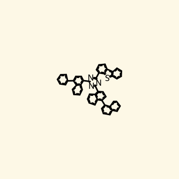 c1ccc(-c2ccc(-c3nc(-c4ccc(-c5cccc6ccccc56)c5ccccc45)nc(-c4cccc5c4sc4ccccc45)n3)c3ccccc23)cc1